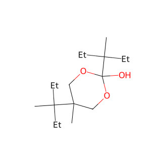 CCC(C)(CC)C1(C)COC(O)(C(C)(CC)CC)OC1